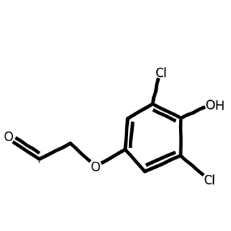 O=[C]COc1cc(Cl)c(O)c(Cl)c1